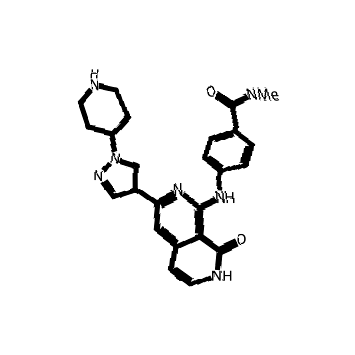 CNC(=O)c1ccc(Nc2nc(C3C=NN(C4CCNCC4)C3)cc3cc[nH]c(=O)c23)cc1